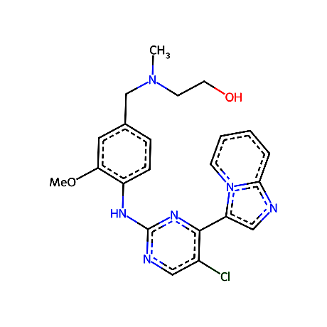 COc1cc(CN(C)CCO)ccc1Nc1ncc(Cl)c(-c2cnc3ccccn23)n1